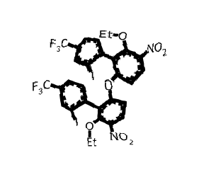 CCOc1c([N+](=O)[O-])ccc(Oc2ccc([N+](=O)[O-])c(OCC)c2-c2ccc(C(F)(F)F)cc2I)c1-c1ccc(C(F)(F)F)cc1I